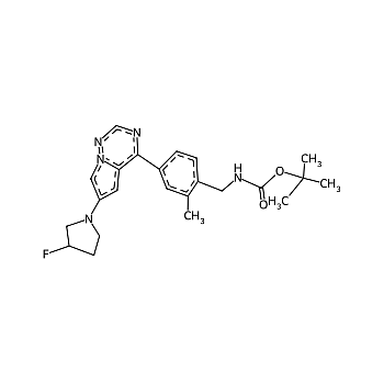 Cc1cc(-c2ncnn3cc(N4CCC(F)C4)cc23)ccc1CNC(=O)OC(C)(C)C